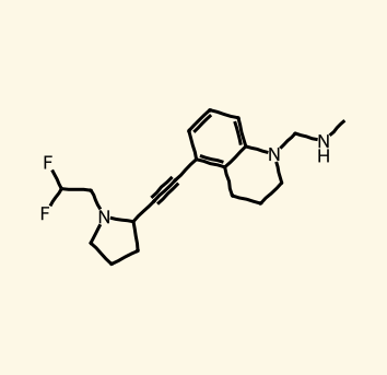 CNCN1CCCc2c(C#CC3CCCN3CC(F)F)cccc21